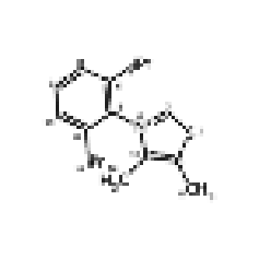 Cc1sc[n+](-c2c(C(C)C)cccc2C(C)C)c1C